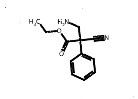 CCOC(=O)C(C#N)(CN)c1ccccc1